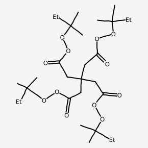 CCC(C)(C)OOC(=O)CC(CC(=O)OOC(C)(C)CC)(CC(=O)OOC(C)(C)CC)CC(=O)OOC(C)(C)CC